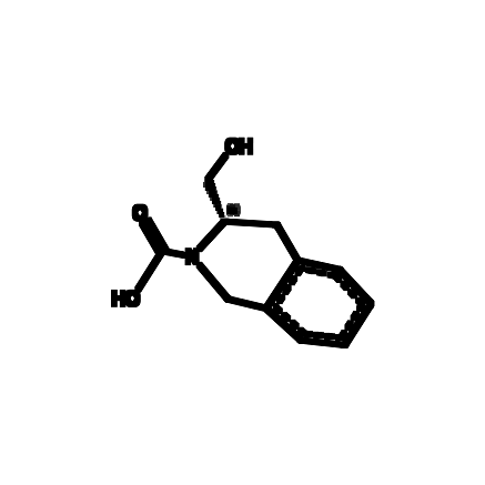 O=C(O)N1Cc2ccccc2C[C@H]1CO